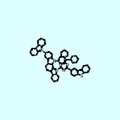 c1ccc(-c2ccc(-n3c4ccc(-n5c6ccccc6c6ccccc65)cc4c4ccc5c6ccccc6n(-c6nc(-c7ccccc7)nc(-c7ccc8sc9ccccc9c8c7)n6)c5c43)cc2)cc1